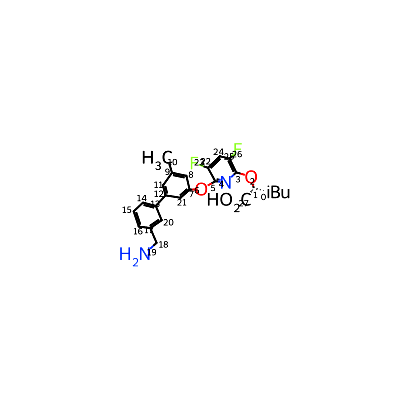 CC[C@@H](C)[C@@H](Oc1nc(Oc2cc(C)cc(-c3cccc(CN)c3)c2)c(F)cc1F)C(=O)O